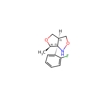 C[C@H]1OC[C@H]2CON[C@]21c1ccccc1F